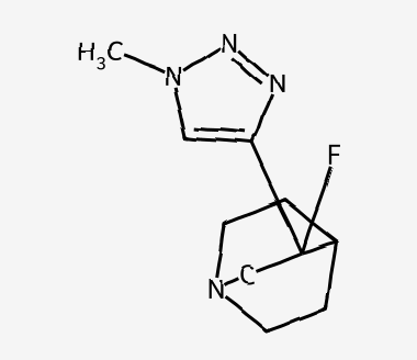 Cn1cc(C2(F)CN3CCC2CC3)nn1